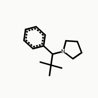 CC(C)(C)C(c1ccccc1)N1CCCC1